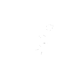 O=C(O)C1=C(CO)CSC2C(NC(=S)Cc3ccncc3)C(=O)N12